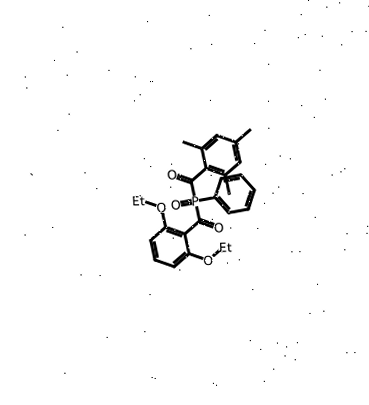 CCOc1cccc(OCC)c1C(=O)P(=O)(C(=O)c1c(C)cc(C)cc1C)c1ccccc1